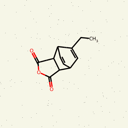 CCC1=CC2C=CC1C1C(=O)OC(=O)C21